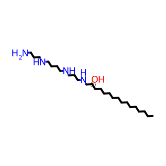 CCCCCCCCCCCCCC[C@@H](O)CNCCCNCCCCNCCCN